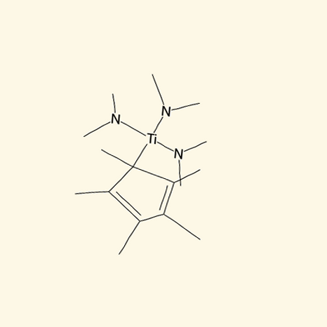 CC1=C(C)[C](C)([Ti]([N](C)C)([N](C)C)[N](C)C)C(C)=C1C